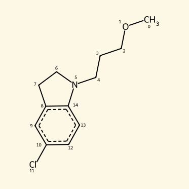 COCCCN1CCc2cc(Cl)ccc21